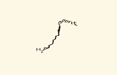 CCCCCCCCCCCCCCP